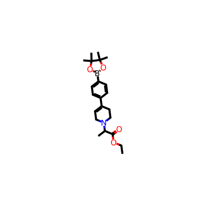 CCOC(=O)C(C)N1CC=C(c2ccc(B3OC(C)(C)C(C)(C)O3)cc2)CC1